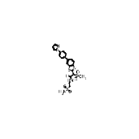 CS(=O)(=O)C(C(=O)NCCS(N)(=O)=O)c1nc2ccc(-c3ccc(-n4cccn4)cc3)cc2s1